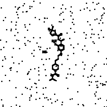 CC(C)OC(=O)N1CCC(CCCOc2ccc([C@H](C)[C@H](N)C(=O)N3CCC(F)(F)C3)c(F)c2)CC1.Cl